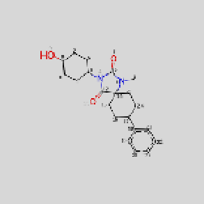 CN1C(=O)N(C2CCC(O)CC2)C(=O)C12CCC(c1ccccc1)CC2